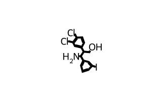 NC(c1cccc(I)c1)C(CO)c1ccc(Cl)c(Cl)c1